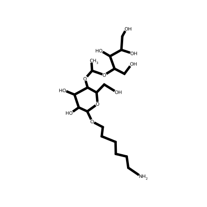 CC(OC(CO)C(O)C(O)CO)OC1C(CO)OC(OCCCCCCN)C(O)C1O